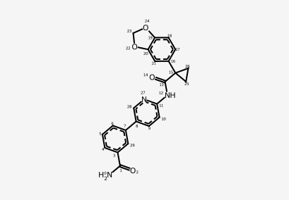 NC(=O)c1cccc(-c2ccc(NC(=O)C3(c4ccc5c(c4)OCO5)CC3)nc2)c1